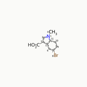 Cn1cc(C(=O)O)c2cc(Br)ccc21